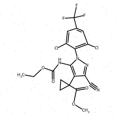 CCOC(=O)Nc1c(C2(C(=O)OC)CC2)c(C#N)nn1-c1c(Cl)cc(C(F)(F)F)cc1Cl